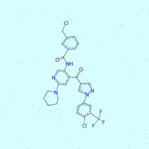 O=C(Nc1cnc(N2CCCCC2)cc1C(=O)c1cnn(-c2ccc(Cl)c(C(F)(F)F)c2)c1)c1cccc(CCl)c1